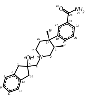 C[C@H]1CN(CC2(O)Cc3ccccc3C2)CC[C@]1(C)c1cccc(C(N)=O)c1